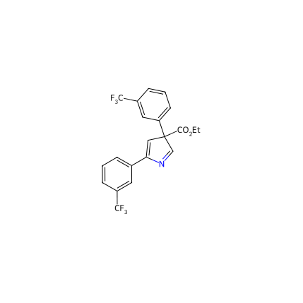 CCOC(=O)C1(c2cccc(C(F)(F)F)c2)C=NC(c2cccc(C(F)(F)F)c2)=C1